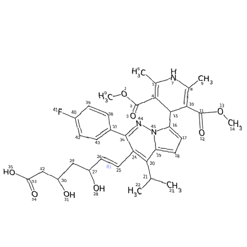 COC(=O)C1=C(C)NC(C)=C(C(=O)OC)C1c1ccc2c(C(C)C)c(/C=C/C(O)CC(O)CC(=O)O)c(-c3ccc(F)cc3)nn12